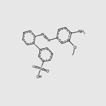 COc1cc(N=Nc2ccccc2-c2cccc(S(=O)(=O)O)c2)ccc1N